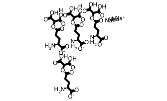 N[C@@H](CCC(=O)OC(C(=O)O)C(=O)O)C(=O)[O-].N[C@@H](CCC(=O)OC(C(=O)O)C(=O)O)C(=O)[O-].N[C@@H](CCC(=O)OC(C(=O)O)C(=O)O)C(=O)[O-].N[C@@H](CCC(=O)OC(C(=O)O)C(=O)O)C(=O)[O-].[Na+].[Na+].[Na+].[Na+]